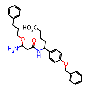 NC(CC(=O)NC(CCCC(=O)O)c1ccc(OCc2ccccc2)cc1)OCCCc1ccccc1